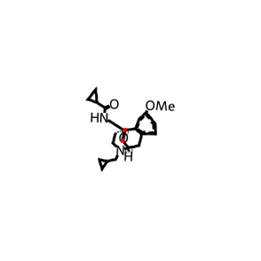 COc1ccc2c(c1)[C@@]13CCN(CC4CC4)[C@@H](C2)C1OCC(NC(=O)C1CC1)C3